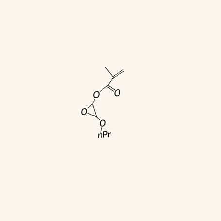 C=C(C)C(=O)OC1OC1OCCC